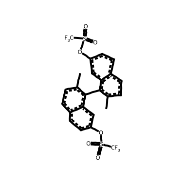 Cc1ccc2ccc(OS(=O)(=O)C(F)(F)F)cc2c1-c1c(C)ccc2ccc(OS(=O)(=O)C(F)(F)F)cc12